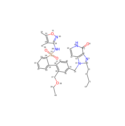 CCCCc1nc2c(=O)[nH]ccc2n1Cc1ccc(-c2ccccc2S(=O)(=O)Nc2noc(C)c2C)c(COCC)c1